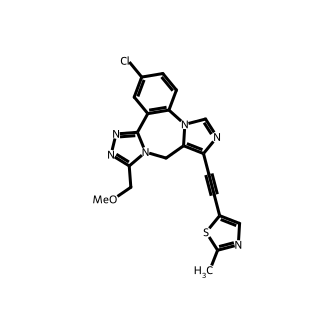 COCc1nnc2n1Cc1c(C#Cc3cnc(C)s3)ncn1-c1ccc(Cl)cc1-2